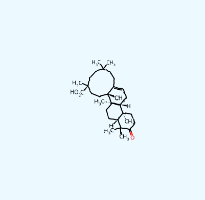 CC1(C)CCC2=CC[C@@H]3[C@@]4(C)CCC(=O)C(C)(C)[C@@H]4CC[C@@]3(C)[C@]2(C)CC[C@@](C)(C(=O)O)CC1